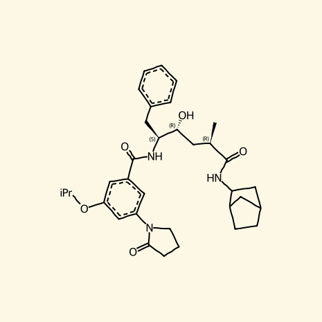 CC(C)Oc1cc(C(=O)N[C@@H](Cc2ccccc2)[C@H](O)C[C@@H](C)C(=O)NC2CC3CCC2C3)cc(N2CCCC2=O)c1